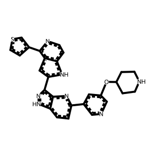 c1cc2[nH]c(-c3n[nH]c4ccc(-c5cncc(OC6CCNCC6)c5)nc34)cc2c(-c2ccsc2)n1